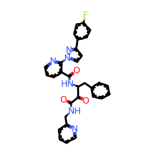 O=C(NCc1ccccn1)C(=O)C(Cc1ccccc1)NC(=O)c1cccnc1-n1ccc(-c2ccc(F)cc2)n1